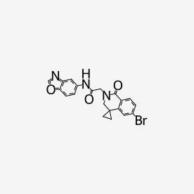 O=C(CN1CC2(CC2)c2cc(Br)ccc2C1=O)Nc1ccc2ocnc2c1